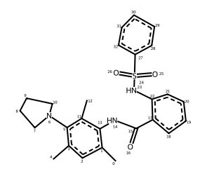 Cc1cc(C)c(N2CCCC2)c(C)c1NC(=O)c1ccccc1NS(=O)(=O)c1ccccc1